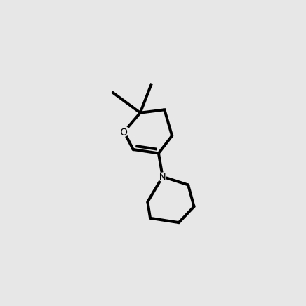 CC1(C)CCC(N2CCCCC2)=CO1